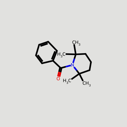 CC1(C)CCCC(C)(C)N1C(=O)c1ccccc1